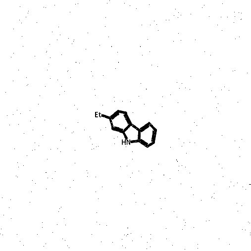 CCc1ccc2c(c1)[nH]c1ccccc12